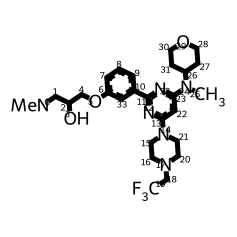 CNCC(O)COc1cccc(-c2nc(N3CCN(CC(F)(F)F)CC3)cc(N(C)C3CCOCC3)n2)c1